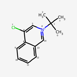 CC(C)(C)[n+]1cc(Cl)c2ccccc2c1